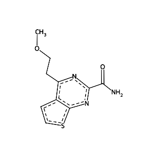 COCCc1nc(C(N)=O)nc2sccc12